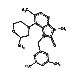 Cc1cc(C)cc(Cn2c(=O)n(C)c3ncc(C)c(N4CCOC(N)C4)c32)c1